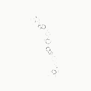 O=C1CCN(c2cnc3cc(CN4CCN(c5ncc(-c6ccc7cn([C@H]8CC[C@H](CNC(=O)c9cc(F)c(O)c(F)c9F)CC8)nc7c6)cn5)CC4)ccn23)C(=O)N1